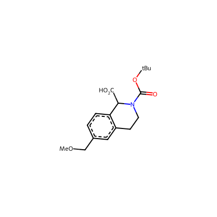 COCc1ccc2c(c1)CCN(C(=O)OC(C)(C)C)C2C(=O)O